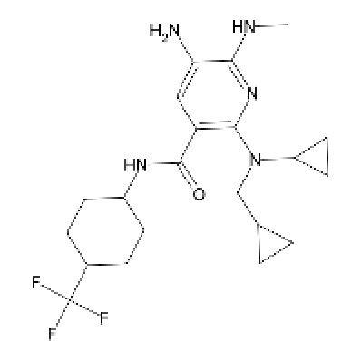 CNc1nc(N(CC2CC2)C2CC2)c(C(=O)NC2CCC(C(F)(F)F)CC2)cc1N